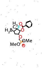 BC1CC(OCP(=O)(OC)OC)C(OC(=O)c2ccccc2)C1(C)F